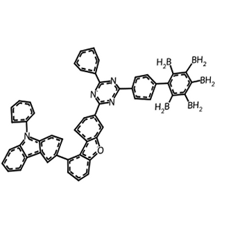 Bc1c(B)c(B)c(-c2ccc(-c3nc(-c4ccccc4)nc(-c4ccc5c(c4)oc4cccc(-c6ccc7c(c6)c6ccccc6n7-c6ccccc6)c45)n3)cc2)c(B)c1B